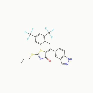 CCCSC1=NC(=O)C(=C(Cc2ccc(C(F)(F)F)cc2C(F)(F)F)c2ccc3[nH]ncc3c2)S1